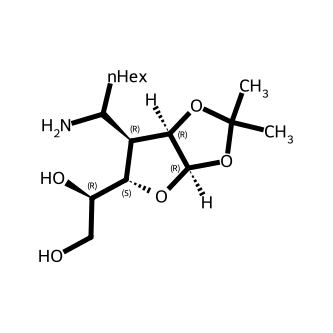 CCCCCCC(N)[C@H]1[C@H]2OC(C)(C)O[C@H]2O[C@@H]1[C@H](O)CO